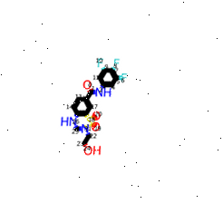 O=C(Nc1cc(F)c(F)c(F)c1)c1ccc2c(c1)S(=O)(=O)N(CCO)CN2